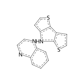 c1cc2c([nH]c3ccsc32)s1.c1ccc2nccnc2c1